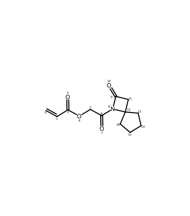 C=CC(=O)OCC(=O)N1C(=O)CC12CCCC2